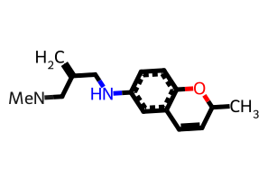 C=C(CNC)CNc1ccc2c(c1)C=CC(C)O2